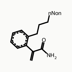 C=C(C(N)=O)c1ccccc1CCCCCCCCCCCC